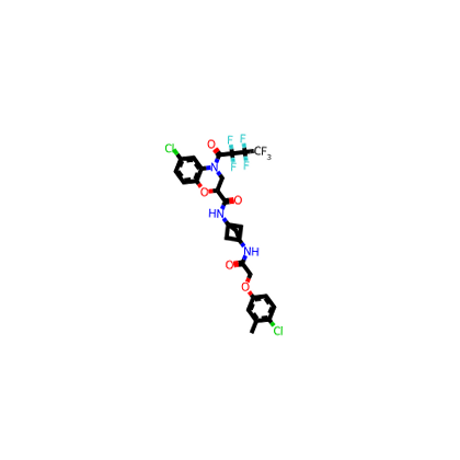 Cc1cc(OCC(=O)NC23CC(NC(=O)C4CN(C(=O)C(F)(F)C(F)(F)C(F)(F)F)c5cc(Cl)ccc5O4)(C2)C3)ccc1Cl